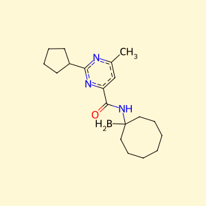 BC1(NC(=O)c2cc(C)nc(C3CCCC3)n2)CCCCCCC1